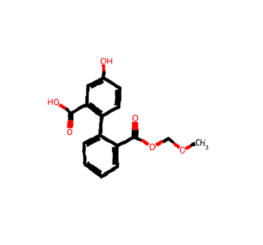 COCOC(=O)c1ccccc1-c1ccc(O)cc1C(=O)O